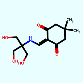 CC1(C)CC(=O)C(=CNC(CO)(CO)CO)C(=O)C1